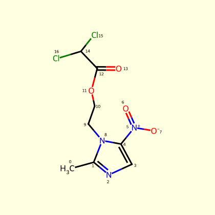 Cc1ncc([N+](=O)[O-])n1CCOC(=O)C(Cl)Cl